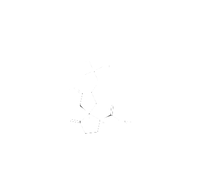 C=CC[C@]1(CCO[Si](C)(C)C(C)(C)C)C(=O)CC[C@@H]1C(=O)OC